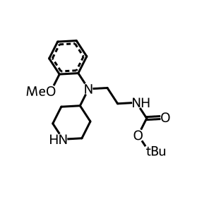 COc1ccccc1N(CCNC(=O)OC(C)(C)C)C1CCNCC1